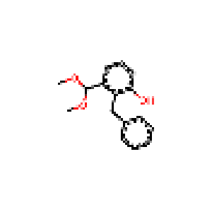 CO[C](OC)c1cccc(O)c1Cc1ccccc1